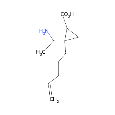 C=CCCCC1(C(C)N)CC1C(=O)O